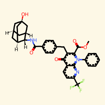 COC(=O)c1c(Cc2ccc(C(=O)N[C@H]3[C@@H]4C[C@H]5C[C@H]3C[C@](O)(C5)C4)cc2)c(=O)c2ccc(C(F)(F)F)nc2n1-c1ccccc1